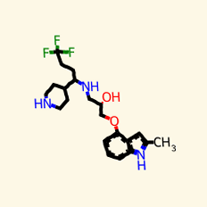 Cc1cc2c(OC[C@@H](O)CNC(CCC(F)(F)F)C3CCNCC3)cccc2[nH]1